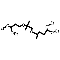 CCOC(CCOC(C)(C)COC(C)CCC(OCC)OCC)OCC